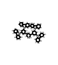 c1ccc2c(c1)c1ccccc1n2-c1cc(-c2cncc(-c3cc(-n4c5ccccc5c5ccccc54)cc(-n4c5ccccc5c5ccccc54)c3)c2)cc(-n2c3ccccc3c3ccccc32)c1